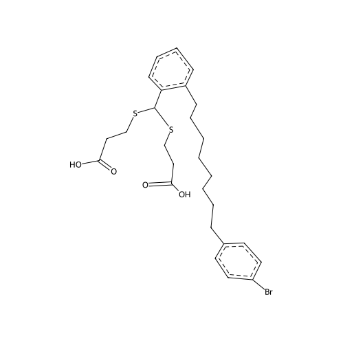 O=C(O)CCSC(SCCC(=O)O)c1ccccc1CCCCCCCCc1ccc(Br)cc1